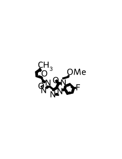 COCCn1c(=O)c2c(-c3noc(-c4ccc(C)o4)n3)ncn2c2ccc(F)cc21